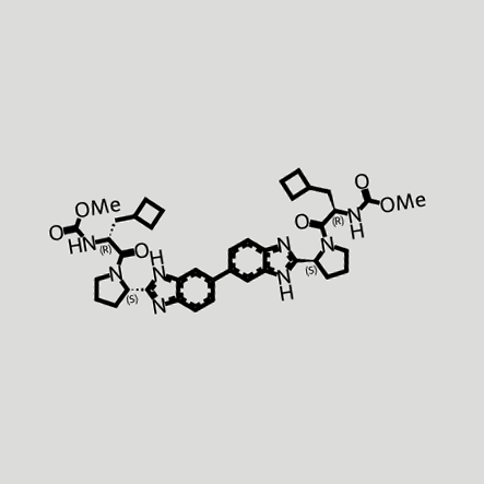 COC(=O)N[C@H](CC1CCC1)C(=O)N1CCC[C@H]1c1nc2ccc(-c3ccc4nc([C@@H]5CCCN5C(=O)[C@@H](CC5CCC5)NC(=O)OC)[nH]c4c3)cc2[nH]1